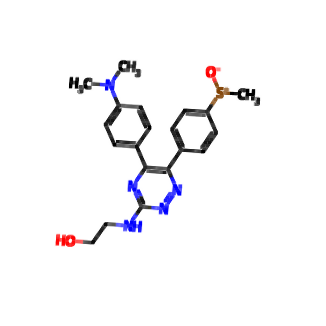 CN(C)c1ccc(-c2nc(NCCO)nnc2-c2ccc([S+](C)[O-])cc2)cc1